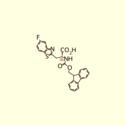 O=C(N[C@@H](Cc1nc2cc(F)ccc2s1)C(=O)O)OCC1c2ccccc2-c2ccccc21